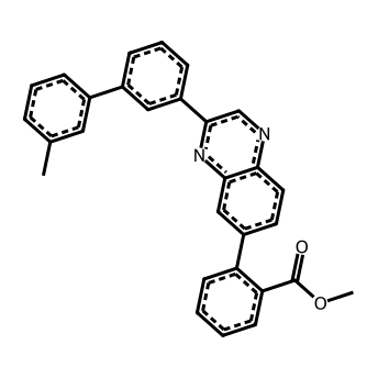 COC(=O)c1ccccc1-c1ccc2ncc(-c3cccc(-c4cccc(C)c4)c3)nc2c1